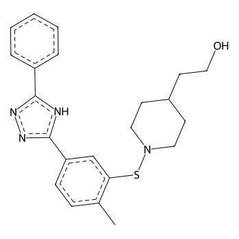 Cc1ccc(-c2nnc(-c3ccccc3)[nH]2)cc1SN1CCC(CCO)CC1